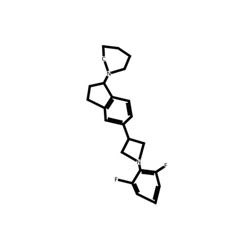 Fc1cccc(F)c1N1CC(c2ccc3c(c2)CCC3N2CCCCC2)C1